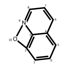 c1cc2c3c(c1)ccc[n+]3O2